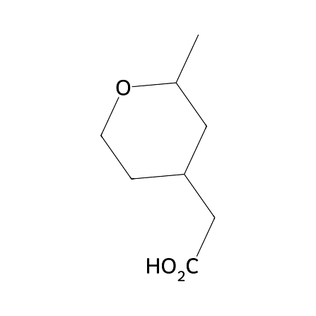 CC1CC(CC(=O)O)CCO1